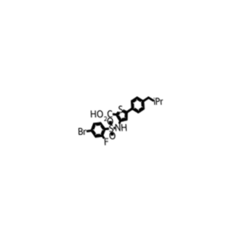 CC(C)Cc1ccc(-c2cc(NS(=O)(=O)c3ccc(Br)cc3F)c(C(=O)O)s2)cc1